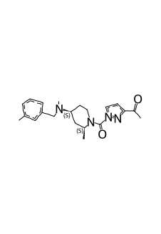 CC(=O)c1ccn(C(=O)N2CC[C@H](N(C)Cc3cccc(C)c3)C[C@@H]2C)n1